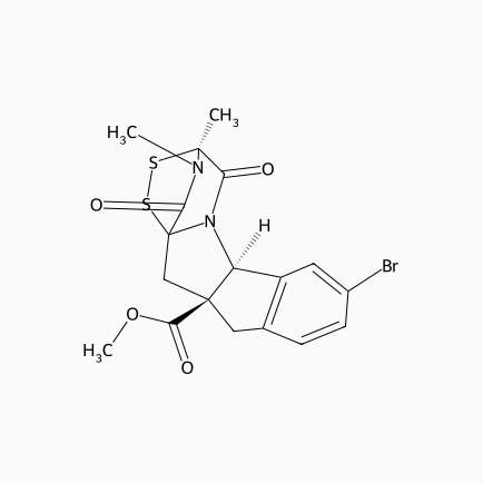 COC(=O)[C@]12Cc3ccc(Br)cc3[C@@H]1N1C(=O)[C@]3(C)SSC1(C2)C(=O)N3C